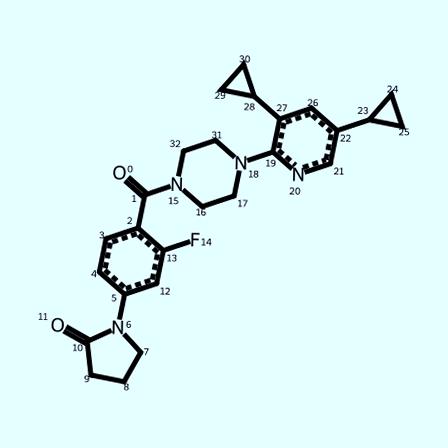 O=C(c1ccc(N2CCCC2=O)cc1F)N1CCN(c2ncc(C3CC3)cc2C2CC2)CC1